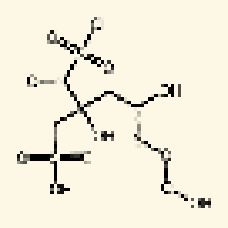 O=S(=O)(O)CC(O)(CC(O)SOOO)C(O)S(=O)(=O)O